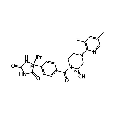 Cc1cnc(N2CCN(C(=O)c3ccc([C@@]4(C(C)C)NC(=O)NC4=O)cc3)[C@H](C#N)C2)c(C)c1